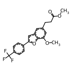 COC(=O)CCc1cc(OC)c2oc(-c3ccc(C(F)(F)F)cc3)cc2c1